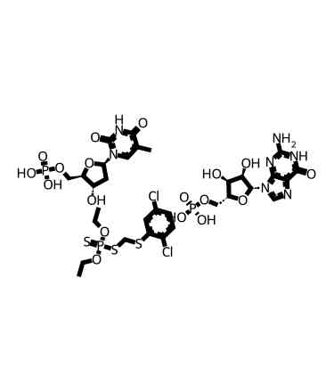 CCOP(=S)(OCC)SCSc1cc(Cl)ccc1Cl.Cc1cn([C@H]2C[C@H](O)[C@@H](COP(=O)(O)O)O2)c(=O)[nH]c1=O.Nc1nc2c(ncn2[C@@H]2O[C@H](COP(=O)(O)O)[C@@H](O)[C@H]2O)c(=O)[nH]1